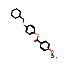 COc1ccc(C(=O)Oc2ccc(OCC3CC[CH]CC3)cc2)cc1